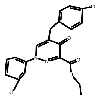 CCOC(=O)c1nn(-c2cccc(Cl)c2)cc(Cc2ccc(Cl)cc2)c1=O